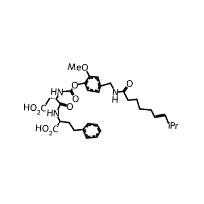 COc1cc(CNC(=O)CCCC/C=C/C(C)C)ccc1OC(=O)N[C@@H](CC(=O)O)C(=O)N[C@@H](CCc1ccccc1)C(=O)O